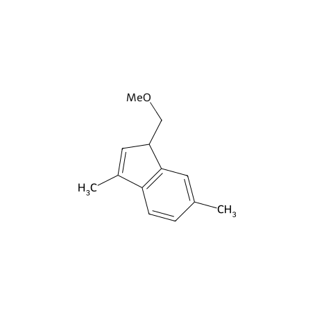 COCC1C=C(C)c2ccc(C)cc21